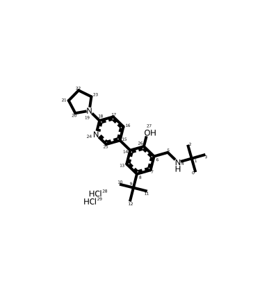 CC(C)(C)NCc1cc(C(C)(C)C)cc(-c2ccc(N3CCCC3)nc2)c1O.Cl.Cl